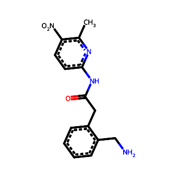 Cc1nc(NC(=O)Cc2ccccc2CN)ccc1[N+](=O)[O-]